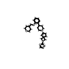 c1ccc(C2CCN([C@@H]3CCC4(C3)CN(c3nnco3)C4)CC2)c(OCC2CCOCC2)c1